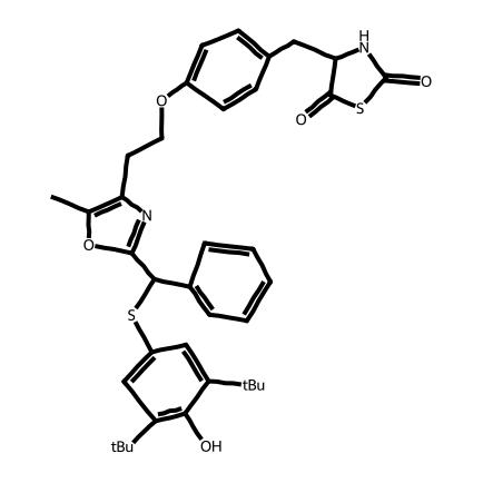 Cc1oc(C(Sc2cc(C(C)(C)C)c(O)c(C(C)(C)C)c2)c2ccccc2)nc1CCOc1ccc(CC2NC(=O)SC2=O)cc1